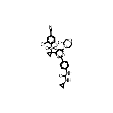 C[C@H]1COCCN1c1cc(C2(S(=O)(=O)c3ccc(C#N)cc3Cl)CC2)nc(-c2ccc(NC(=O)NC3CC3)cc2)n1